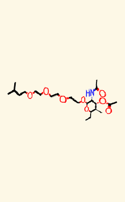 CC[C@H]1OC(OCCOCCOCCOCCC(C)C)[C@H](NC(C)=O)[C@@H](OC(C)=O)[C@H]1C